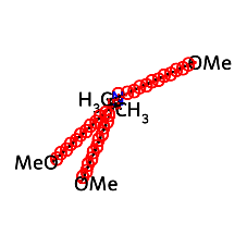 COCCOCCOCCOCCOCCOCCOCCOCCOCCOCCOCCOCCCC(=O)N1Cc2cc(C)cc3c2-c2c(cc(C)cc2C3(CCCOCCOCCOCCOCCOCCOCCOCCOCCOCCOCCOCCOC)CCCOCCOCCOCCOCCOCCOCCOCCOCCOCCOCCOCCOC)C1